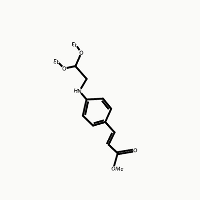 CCOC(CNc1ccc(C=CC(=O)OC)cc1)OCC